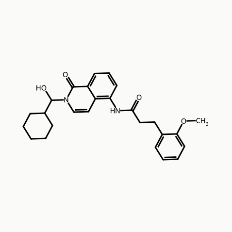 COc1ccccc1CCC(=O)Nc1cccc2c(=O)n(C(O)C3CCCCC3)ccc12